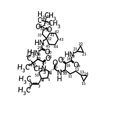 CC(C)=C[C@@H]1C[C@@H](C(=O)N[C@H](CCC2CC2)C(=O)C(=O)NC2CC2)N(C(=O)[C@@H](NC(=O)NC2(CS(=O)(=O)C(C)(C)C)CCCCC2)C(C)(C)C)C1